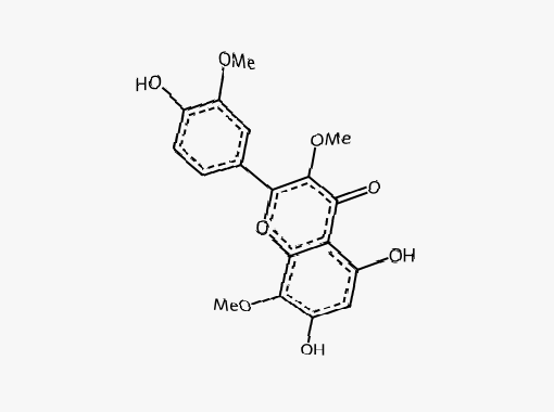 COc1cc(-c2oc3c(OC)c(O)cc(O)c3c(=O)c2OC)ccc1O